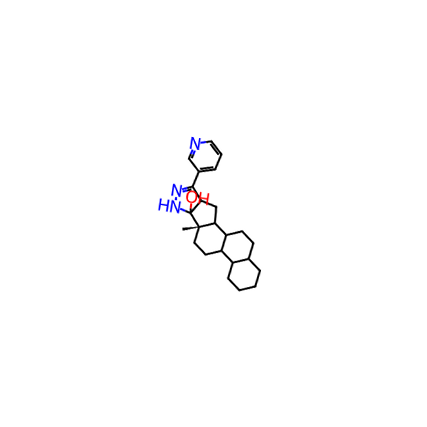 C[C@]12CCC3C4CCCCC4CCC3C1CC1C(c3cccnc3)=NNC12O